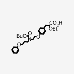 CCOC(Cc1ccc(OCCN(CCCOc2ccccc2)C(=O)OCC(C)C)cc1)C(=O)O